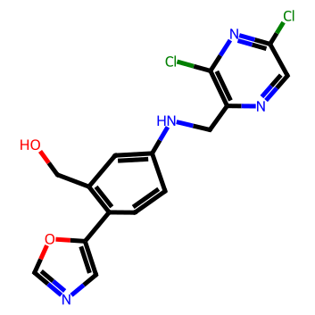 OCc1cc(NCc2ncc(Cl)nc2Cl)ccc1-c1cnco1